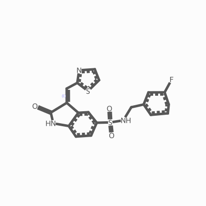 O=C1Nc2ccc(S(=O)(=O)NCc3cccc(F)c3)cc2/C1=C\c1nccs1